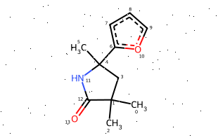 CC1(C)CC(C)(c2ccco2)NC1=O